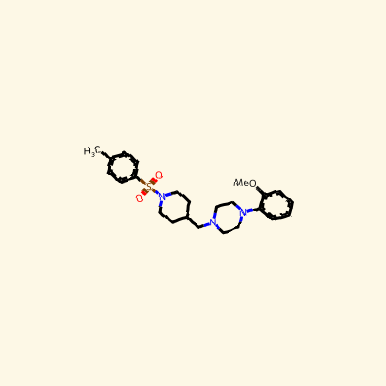 COc1ccccc1N1CCN(CC2CCN(S(=O)(=O)c3ccc(C)cc3)CC2)CC1